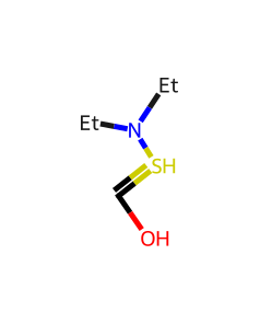 CCN(CC)[SH]=CO